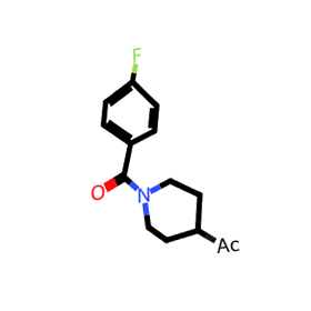 CC(=O)C1CCN(C(=O)c2ccc(F)cc2)CC1